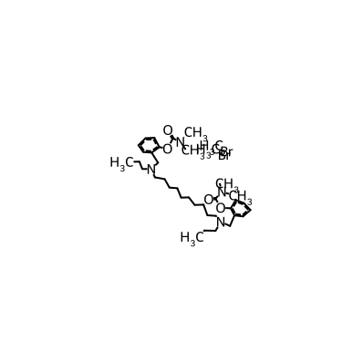 CBr.CBr.CCCN(CCCCCCCCCCN(CCC)Cc1ccccc1OC(=O)N(C)C)Cc1ccccc1OC(=O)N(C)C